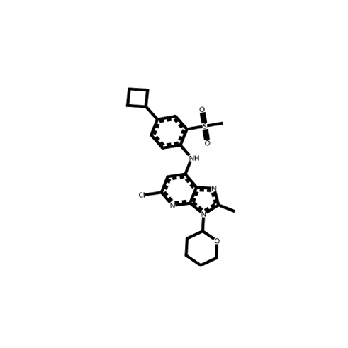 Cc1nc2c(Nc3ccc(C4CCC4)cc3S(C)(=O)=O)cc(Cl)nc2n1C1CCCCO1